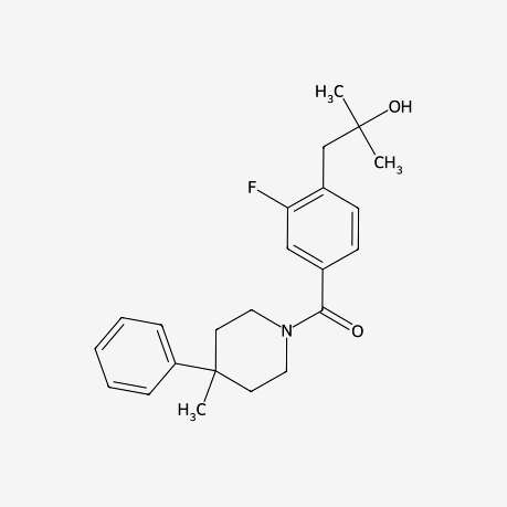 CC(C)(O)Cc1ccc(C(=O)N2CCC(C)(c3ccccc3)CC2)cc1F